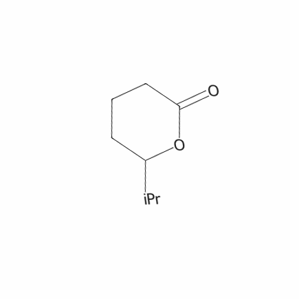 CC(C)C1CCCC(=O)O1